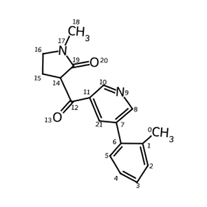 Cc1ccccc1-c1cncc(C(=O)C2CCN(C)C2=O)c1